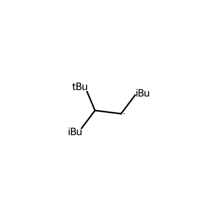 CCC(C)[CH]C(C(C)CC)C(C)(C)C